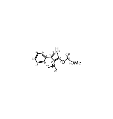 COC(=O)Oc1[nH]cc(-c2ccccc2)c1N(C)C